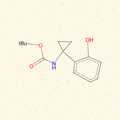 CC(C)(C)OC(=O)NC1(c2ccccc2O)CC1